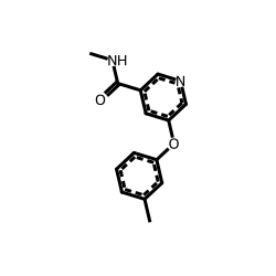 CNC(=O)c1cncc(Oc2cccc(C)c2)c1